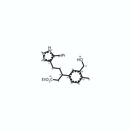 CCCc1[nH]nnc1CCC(CC(=O)OCC)c1ccc(C)c(CO)c1